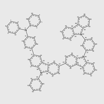 c1ccc(N(c2ccccc2)c2ccc(-c3ccc4c(c3)c3cc(-c5ccc6c(c5)c5ccccc5n6-c5cccc(-n6c7ccccc7c7ccccc76)c5)ccc3n4-c3ccccc3)cc2)cc1